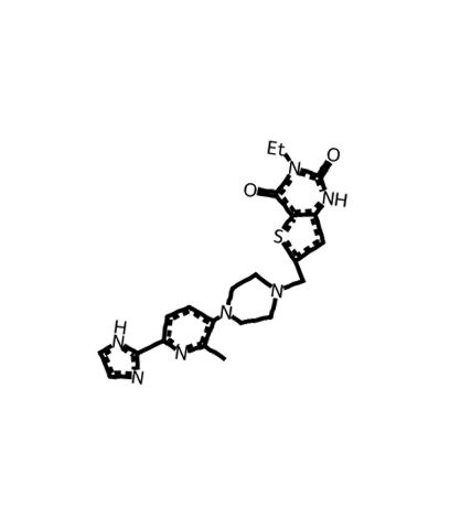 CCn1c(=O)[nH]c2cc(CN3CCN(c4ccc(-c5ncc[nH]5)nc4C)CC3)sc2c1=O